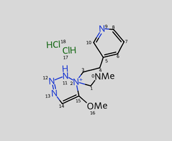 CNC[N+]1(CCc2cccnc2)NN=NC=C1OC.Cl.Cl